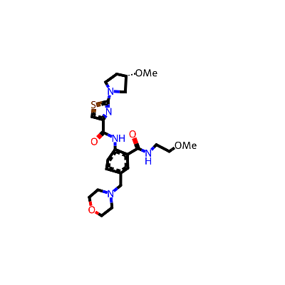 COCCNC(=O)c1cc(CN2CCOCC2)ccc1NC(=O)c1csc(N2CC[C@H](OC)C2)n1